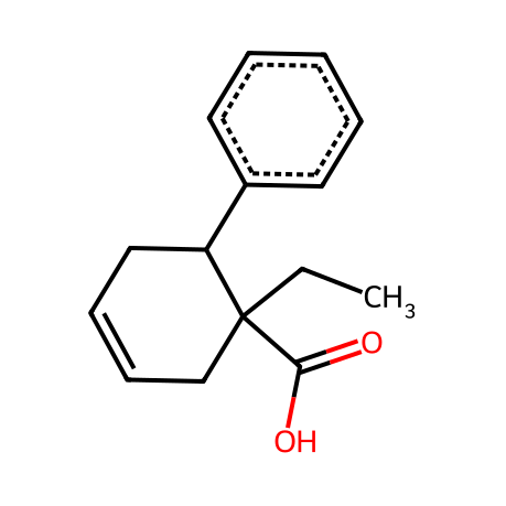 CCC1(C(=O)O)CC=CCC1c1ccccc1